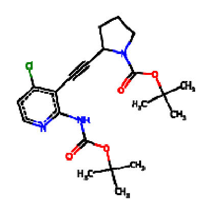 CC(C)(C)OC(=O)Nc1nccc(Cl)c1C#CC1CCCN1C(=O)OC(C)(C)C